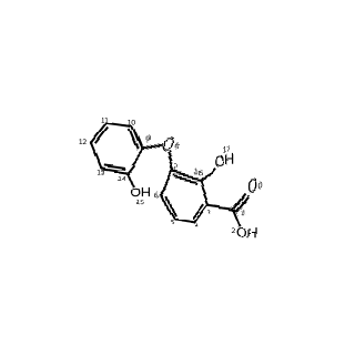 O=C(O)c1cccc(Oc2ccccc2O)c1O